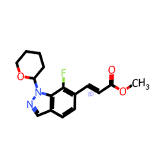 COC(=O)/C=C/c1ccc2cnn(C3CCCCO3)c2c1F